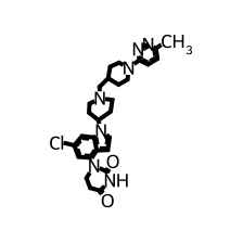 Cc1ccc(N2CCC(CN3CCC(n4ccc5c(N6CCC(=O)NC6=O)cc(Cl)cc54)CC3)CC2)nn1